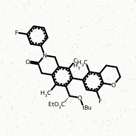 CCOC(=O)[C@@H](OC(C)(C)C)c1c(C)c2c(c(C)c1-c1cc(F)c3c(c1C)CCCO3)CN(c1cccc(F)c1)C(=O)C2